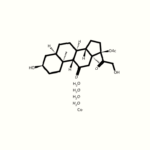 CC(=O)O[C@]1(C(=O)CO)CC[C@H]2[C@@H]3CC[C@@H]4C[C@H](O)CC[C@]4(C)[C@H]3C(=O)C[C@@]21C.O.O.O.O.[Co]